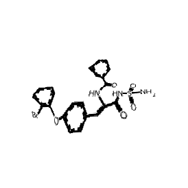 NS(=O)(=O)NC(=O)/C(=C/c1ccc(Oc2ccccc2Br)cc1)NC(=O)c1ccccc1